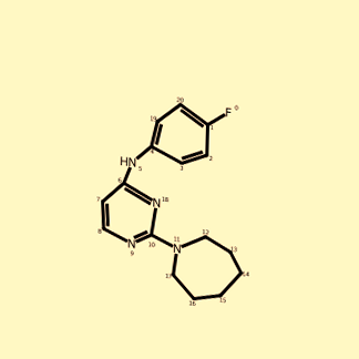 Fc1ccc(Nc2ccnc(N3CCCCCC3)n2)cc1